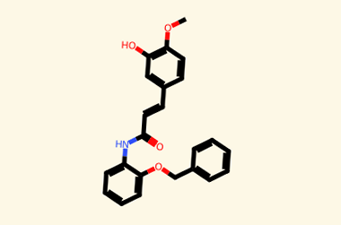 COc1ccc(/C=C/C(=O)Nc2ccccc2OCc2ccccc2)cc1O